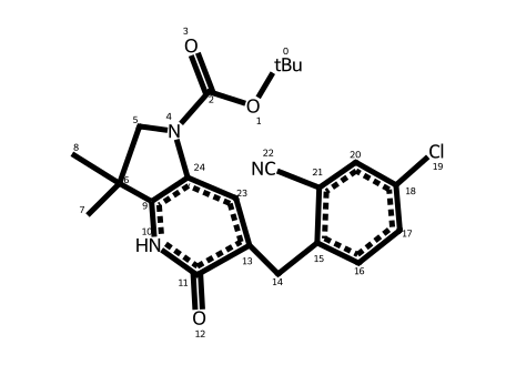 CC(C)(C)OC(=O)N1CC(C)(C)c2[nH]c(=O)c(Cc3ccc(Cl)cc3C#N)cc21